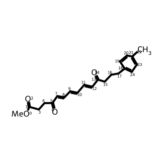 COC(=O)CCC(=O)C=CC=CC=CC(=O)CCCc1ccc(C)cc1